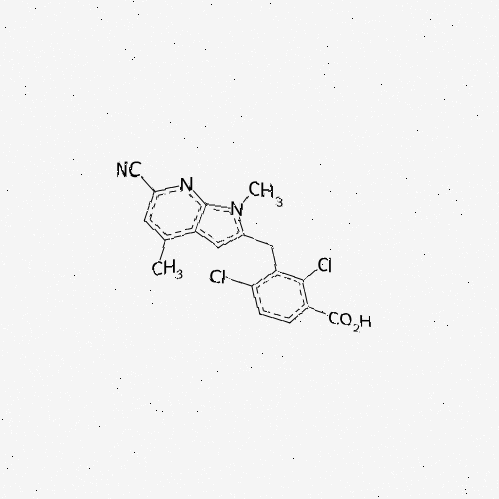 Cc1cc(C#N)nc2c1cc(Cc1c(Cl)ccc(C(=O)O)c1Cl)n2C